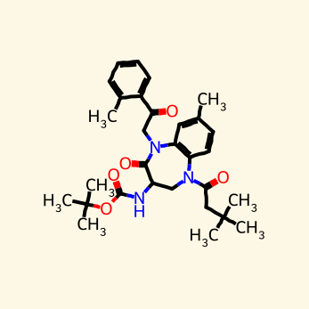 Cc1ccc2c(c1)N(CC(=O)c1ccccc1C)C(=O)C(NC(=O)OC(C)(C)C)CN2C(=O)CC(C)(C)C